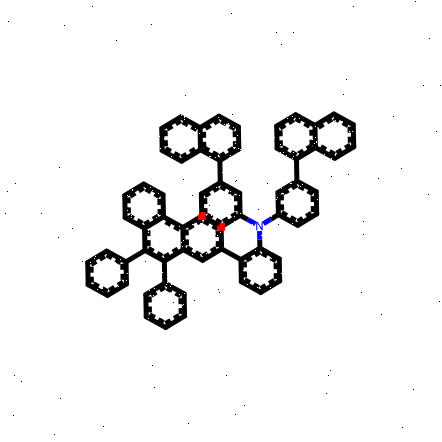 c1ccc(-c2c(-c3ccccc3)c3cc(-c4ccccc4N(c4cccc(-c5cccc6ccccc56)c4)c4cccc(-c5cccc6ccccc56)c4)ccc3c3ccccc23)cc1